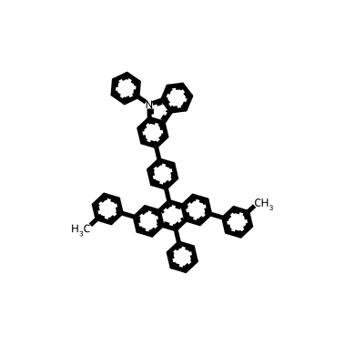 Cc1cccc(-c2ccc3c(-c4ccc(-c5ccc6c(c5)c5ccccc5n6-c5ccccc5)cc4)c4cc(-c5cccc(C)c5)ccc4c(-c4ccccc4)c3c2)c1